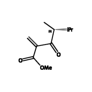 C=C(C(=O)OC)C(=O)[C@H](C)C(C)C